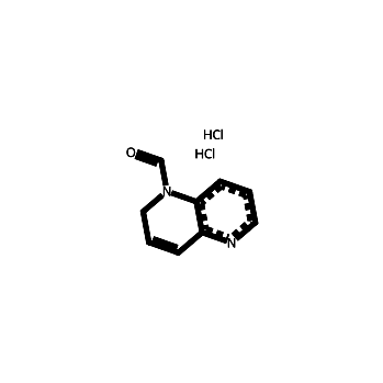 Cl.Cl.O=CN1CC=Cc2ncccc21